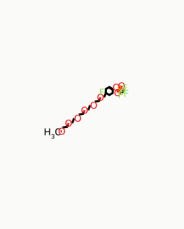 COCCOCCOCCOCCOCCOCC1(F)CC=C(OS(=O)(=O)C(F)(F)F)CC1